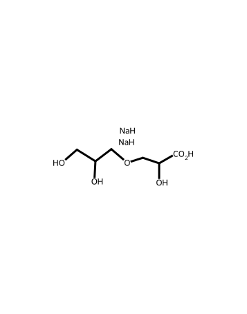 O=C(O)C(O)COCC(O)CO.[NaH].[NaH]